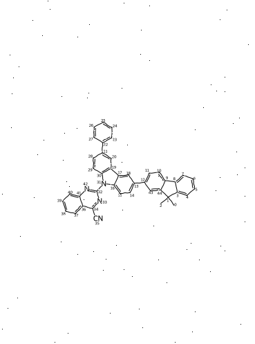 CC1(C)c2ccccc2-c2ccc(-c3ccc4c(c3)c3cc(-c5ccccc5)ccc3n4-c3nc(C#N)c4ccccc4n3)cc21